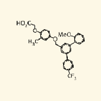 COc1ccccc1-c1cc(COc2ccc(OCC(=O)O)c(C)c2)cc(-c2ccc(C(F)(F)F)cc2)c1